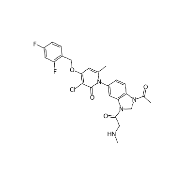 CNCC(=O)N1CN(C(C)=O)c2ccc(-n3c(C)cc(OCc4ccc(F)cc4F)c(Cl)c3=O)cc21